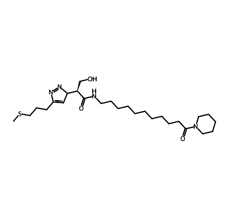 CSCCCC1=CC([C@@H](CO)C(=O)NCCCCCCCCCCC(=O)N2CCCCC2)N=N1